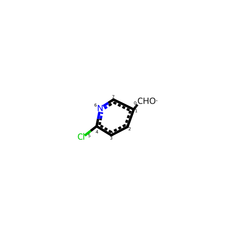 O=[C]c1ccc(Cl)nc1